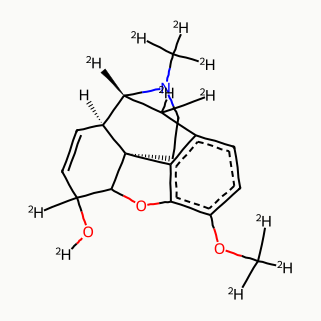 [2H]OC1([2H])C=C[C@@H]2[C@@]34CCN(C([2H])([2H])[2H])[C@]2([2H])C([2H])([2H])c2ccc(OC([2H])([2H])[2H])c(c23)OC14